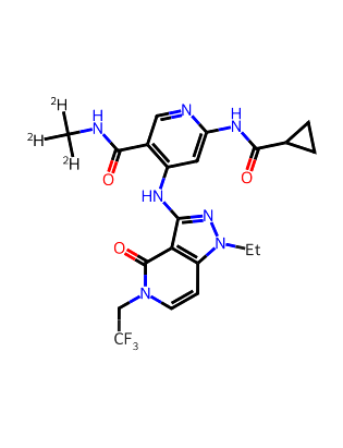 [2H]C([2H])([2H])NC(=O)c1cnc(NC(=O)C2CC2)cc1Nc1nn(CC)c2ccn(CC(F)(F)F)c(=O)c12